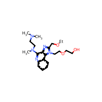 CCOCc1nc2c(N(C)CCN(C)C)nc3ccccc3c2n1CCOCCO